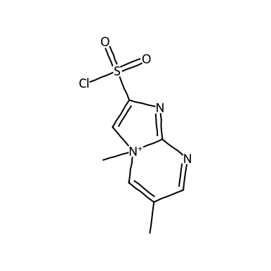 CC1=C[N+]2(C)C=C(S(=O)(=O)Cl)N=C2N=C1